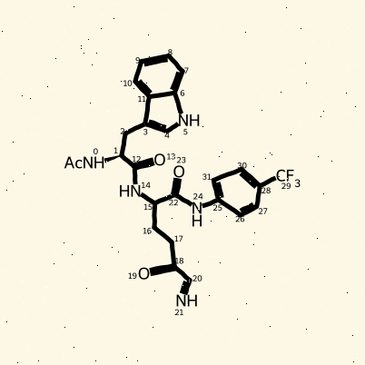 CC(=O)N[C@@H](Cc1c[nH]c2ccccc12)C(=O)NC(CCC(=O)C=N)C(=O)Nc1ccc(C(F)(F)F)cc1